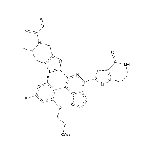 C=CC(=O)N1Cc2cc(-c3nc(-c4cc5n(n4)CCNC5=O)c4ccsc4c3-c3c(F)cc(F)cc3OCCOC)nn2CC1C